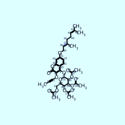 CC#COc1c(O[C@@H]2O[C@H](COC(C)=O)[C@@H](OC(C)=O)[C@H](OC(C)=O)[C@H]2OC(C)=O)c2ccc(OC/C=C(\C)CCC=C(C)C)cc2oc1=O